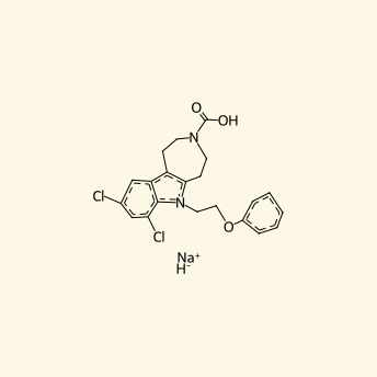 O=C(O)N1CCc2c(n(CCOc3ccccc3)c3c(Cl)cc(Cl)cc23)CC1.[H-].[Na+]